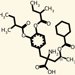 CCC(C)C(=O)Oc1ccc(CC(N)(C[C@H](C)OC(=O)C2CCCCC2)C(=O)O)cc1OC(=O)C(C)CC